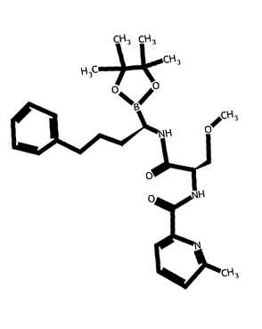 COC[C@@H](NC(=O)c1cccc(C)n1)C(=O)N[C@@H](CCCc1ccccc1)B1OC(C)(C)C(C)(C)O1